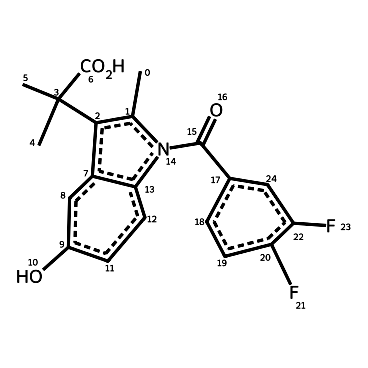 Cc1c(C(C)(C)C(=O)O)c2cc(O)ccc2n1C(=O)c1ccc(F)c(F)c1